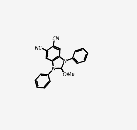 COC1N(c2ccccc2)c2cc(C#N)c(C#N)cc2N1c1ccccc1